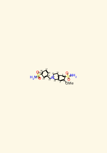 COc1cc2c(cc1S(N)(=O)=O)CCN(Cc1cccc(S(N)(=O)=O)c1)C2